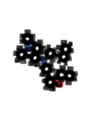 c1cc(-c2cccc3ccccc23)cc(N(c2ccc(-c3ccccc3-n3c4ccccc4c4ccccc43)cc2)c2ccc(-c3cccc4oc5c6ccccc6ccc5c34)cc2)c1